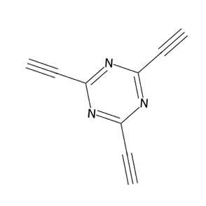 C#Cc1nc(C#C)nc(C#C)n1